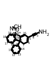 C#N.NC#CC1=CCC(c2ccccc2)(c2ccccc2)C([N+](=O)[O-])=C1